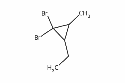 CCC1C(C)C1(Br)Br